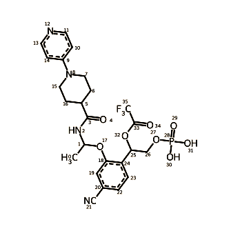 CC(NC(=O)C1CCN(c2ccncc2)CC1)Oc1cc(C#N)ccc1C(COP(=O)(O)O)OC(=O)C(F)(F)F